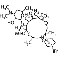 CO[C@]1(C)C[C@@H](C)CN(C)[C@](C)(C2CCN(C(C)C)CC2)COC(=O)C(C)(C)C(=O)[C@H](C)[C@H]1O[C@@H]1O[C@H](C)C[C@H](N(C)C)[C@H]1O